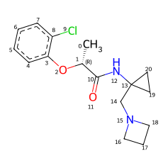 C[C@@H](Oc1ccccc1Cl)C(=O)NC1(CN2CCC2)CC1